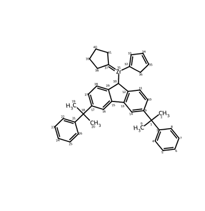 CC(C)(c1ccccc1)c1ccc2c(c1)-c1cc(C(C)(C)c3ccccc3)ccc1[CH]2[Zr]([C]1=CC=CC1)=[C]1CCCC1